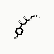 CCOC(=O)[CH]C(=O)c1ccc(Br)cc1